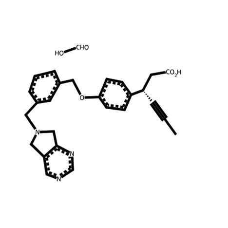 CC#C[C@@H](CC(=O)O)c1ccc(OCc2cccc(CN3Cc4cncnc4C3)c2)cc1.O=CO